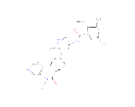 COc1c(C#N)cc(C(C)(C)C)cc1C(=O)Nc1cnc(C)c(-c2ccc(C(=O)N(C)c3cccnc3)cc2)c1